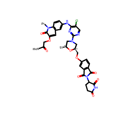 CC[C@H]1CN(c2ncc(Cl)c(Nc3ccc4c(c3)cc(OCC(=O)NC)c(=O)n4C(C)C)n2)C[C@@H](COc2ccc3c(c2)C(=O)N(C2CCC(=O)NC2=O)C3=O)O1